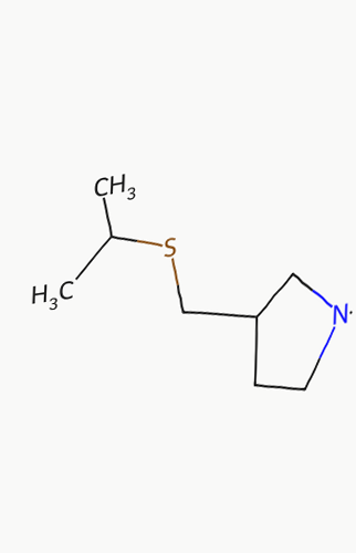 CC(C)SCC1CC[N]C1